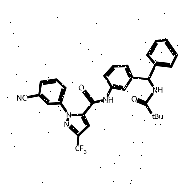 CC(C)(C)C(=O)NC(c1ccccc1)c1cccc(NC(=O)c2cc(C(F)(F)F)nn2-c2cccc(C#N)c2)c1